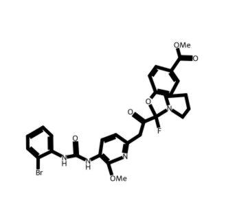 COC(=O)c1ccc(OC(F)(C(=O)Cc2ccc(NC(=O)Nc3ccccc3Br)c(OC)n2)N2CCCC2)cc1